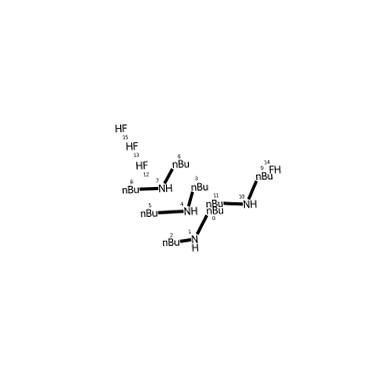 CCCCNCCCC.CCCCNCCCC.CCCCNCCCC.CCCCNCCCC.F.F.F.F